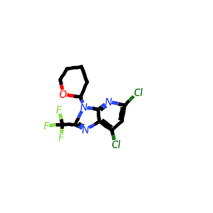 FC(F)(F)c1nc2c(Cl)cc(Cl)nc2n1C1CCCCO1